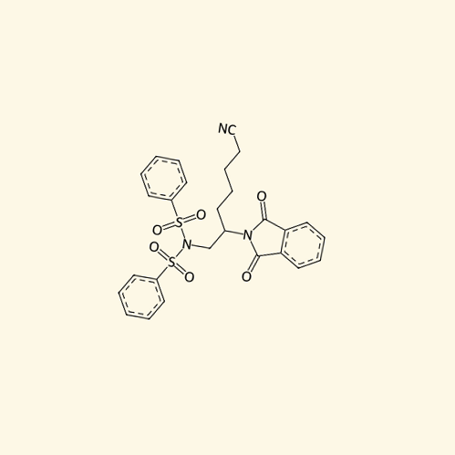 N#CCCCCC(CN(S(=O)(=O)c1ccccc1)S(=O)(=O)c1ccccc1)N1C(=O)c2ccccc2C1=O